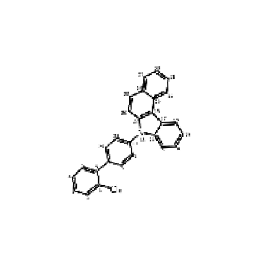 Clc1ccccc1-c1ccc(-n2c3ccccc3c3c4ccccc4ccc32)cc1